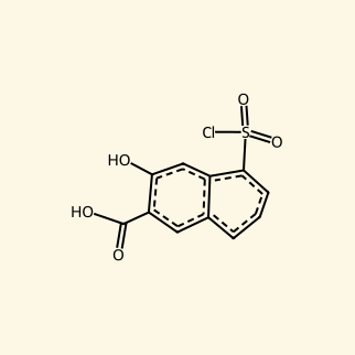 O=C(O)c1cc2cccc(S(=O)(=O)Cl)c2cc1O